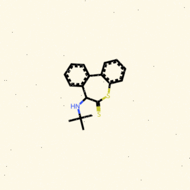 CC(C)(C)NC1C(=S)Sc2ccccc2-c2ccccc21